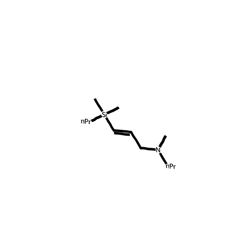 CCCN(C)CC=C[Si](C)(C)CCC